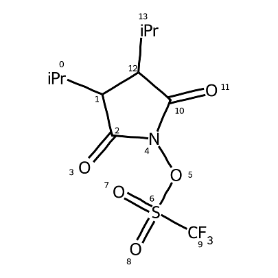 CC(C)C1C(=O)N(OS(=O)(=O)C(F)(F)F)C(=O)C1C(C)C